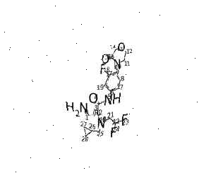 NC[C@H](C(=O)Nc1ccc(N2CCOCC2=O)c(F)c1)N(CC(F)F)CC1CC1